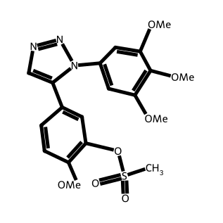 COc1ccc(-c2cnnn2-c2cc(OC)c(OC)c(OC)c2)cc1OS(C)(=O)=O